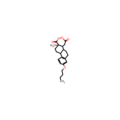 CCCCOc1ccc2c(c1)CCC1C2CC[C@]2(C)C(=O)OOC(=O)CC12